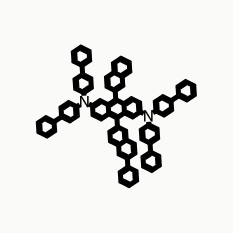 c1ccc(-c2ccc(N(c3ccc(-c4ccccc4)cc3)c3ccc4c(-c5ccc6cc(-c7ccccc7)ccc6c5)c5cc(N(c6ccc(-c7ccccc7)cc6)c6ccc(-c7ccccc7)cc6)ccc5c(-c5ccc6ccccc6c5)c4c3)cc2)cc1